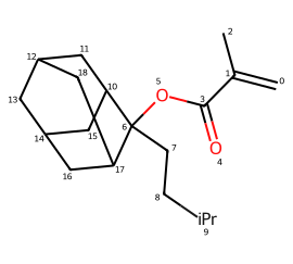 C=C(C)C(=O)OC1(CCC(C)C)C2CC3CC(C2)CC1C3